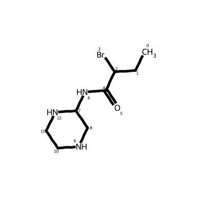 CCC(Br)C(=O)NC1CNCCN1